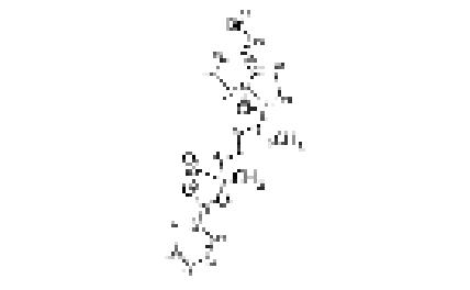 C[C@H](CCC[C@@]1(C)O[C@H](c2ccccc2)OC1=O)[C@H]1CCC2/C(=C/Br)CCC[C@@]21C